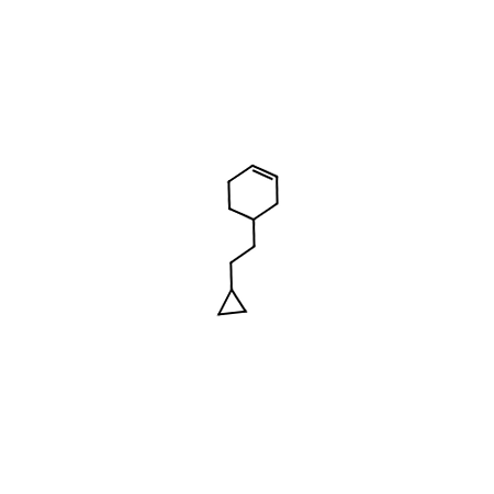 C1=CCC(CCC2CC2)CC1